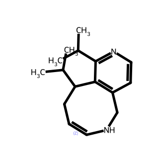 CC(C)c1nccc2c1C(C(C)C)C/C=C\NC2